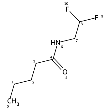 CCCCC(=O)NCC(F)F